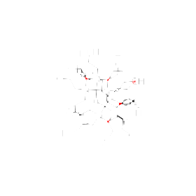 CCC[Si](CCC)(CCC)[C]([Lu][C]([Si](CCC)(CCC)CCC)([Si](CCC)(CCC)CCC)[Si](CCC)(CCC)CCC)([Si](CCC)(CCC)CCC)[Si](CCC)(CCC)CCC